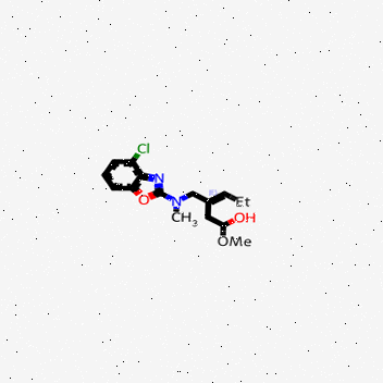 CC/C=C(\CC(O)OC)CN(C)c1nc2c(Cl)cccc2o1